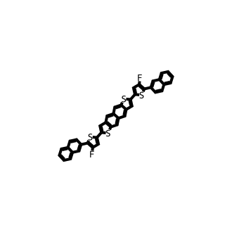 Fc1cc(-c2cc3cc4cc5sc(-c6cc(F)c(-c7ccc8ccccc8c7)s6)cc5cc4cc3s2)sc1-c1ccc2ccccc2c1